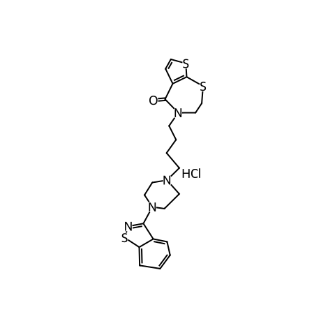 Cl.O=C1c2ccsc2SCCN1CCCCN1CCN(c2nsc3ccccc23)CC1